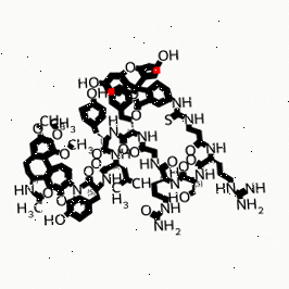 COc1cc2c(c(OC)c1OC)-c1ccc(NC(=O)[C@H](Cc3ccc(O)cc3)NC(=O)[C@H](CC(C)C)NC(=O)[C@H](Cc3ccc(O)cc3)NC(=O)[C@H](CCc3ccccc3)NC(=O)CNC(=O)[C@H](CCCNC(N)=O)NC(=O)[C@H](CO)NC(=O)[C@H](CCCNC(=N)N)NC(=O)CCNC(=S)Nc3ccc4c(c3)C(=O)OC43c4ccc(O)cc4Oc4cc(O)ccc43)c(=O)cc1[C@@H](NC(C)=O)CC2